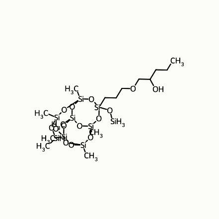 CCCC(O)COCCC[Si]1(O[SiH3])O[Si]2(C)O[Si]3(C)O[SiH](C)O[Si]4(C)O[Si](C)(O3)O[Si](C)(O2)O[Si](C)(O4)O1